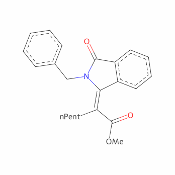 CCCCC/C(C(=O)OC)=C1/c2ccccc2C(=O)N1Cc1ccccc1